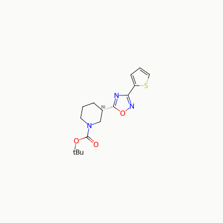 CC(C)(C)OC(=O)N1CCC[C@H](c2nc(-c3cccs3)no2)C1